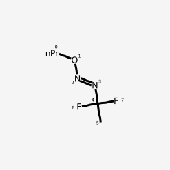 CCCON=NC(C)(F)F